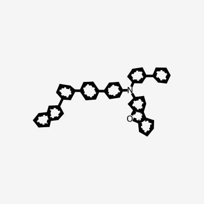 c1ccc(-c2cccc(N(c3ccc(-c4ccc(-c5cccc(-c6ccc7ccccc7c6)c5)cc4)cc3)c3ccc4c(c3)oc3ccccc34)c2)cc1